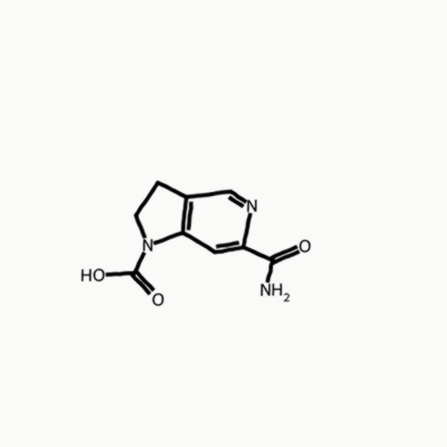 NC(=O)c1cc2c(cn1)CCN2C(=O)O